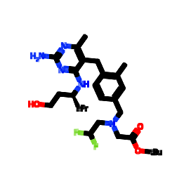 CCC[C@@H](CCO)Nc1nc(N)nc(C)c1Cc1ccc(CN(CC(=O)OC(C)(C)C)CC(F)F)cc1C